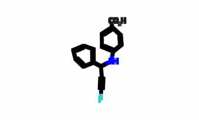 O=C(O)c1ccc(NC(C#CF)c2ccccc2)cc1